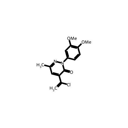 C=C(Cl)c1cc(C)nn(-c2ccc(OC)c(OC)c2)c1=O